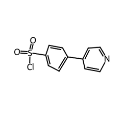 O=S(=O)(Cl)c1ccc(-c2ccncc2)cc1